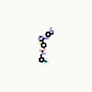 O=C(NCc1cccc(C(F)(F)F)c1)OC1CCc2c(sc3ncnc(Nc4ccc5[nH]ncc5c4)c23)C1